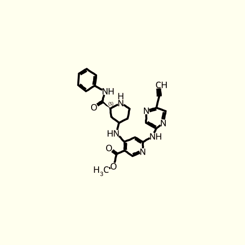 C#Cc1cnc(Nc2cc(NC3CCN[C@H](C(=O)Nc4ccccc4)C3)c(C(=O)OC)cn2)cn1